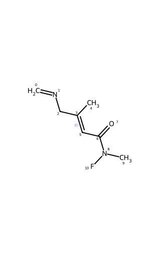 C=NC/C(C)=C/C(=O)N(C)F